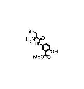 COC(=O)c1cc(NC(=O)C(N)CC(C)C)ccc1O